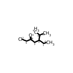 CCC(CC(=O)CCl)C(C)C